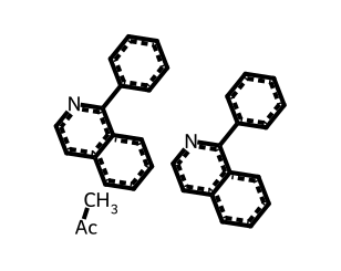 CC(C)=O.c1ccc(-c2nccc3ccccc23)cc1.c1ccc(-c2nccc3ccccc23)cc1